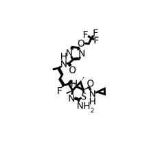 C=C(/C(F)=C\C=C(/C)NC(=O)c1cnc(OCC(F)(F)F)cn1)[C@@]1(C)N=C(N)S[C@@]2(C(=O)NC3CC3)[C@@H](C)[C@@H]21